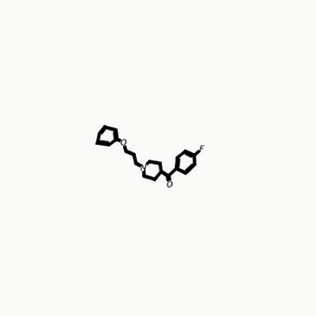 O=C(c1ccc(F)cc1)C1CCN(CCCOc2ccccc2)CC1